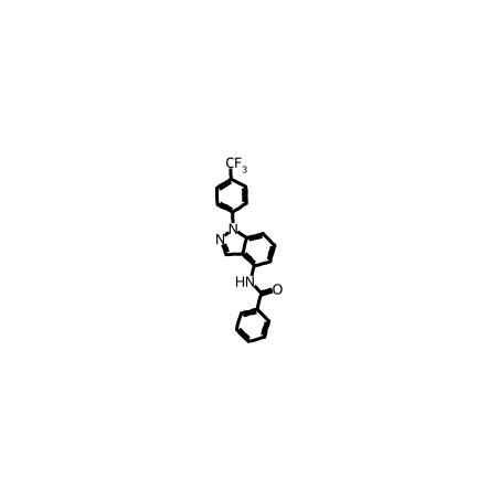 O=C(Nc1cccc2c1cnn2-c1ccc(C(F)(F)F)cc1)c1ccccc1